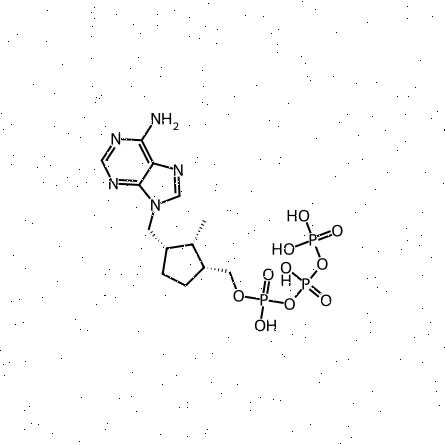 C[C@H]1[C@@H](Cn2cnc3c(N)ncnc32)CC[C@H]1COP(=O)(O)OP(=O)(O)OP(=O)(O)O